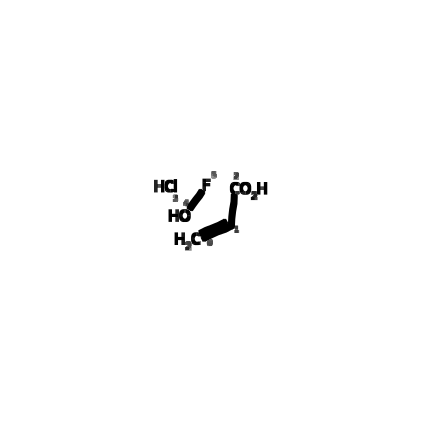 C=CC(=O)O.Cl.OF